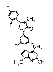 Cc1nc(N)c2c(-c3c(F)cc(N4CC(c5ccc(F)cc5F)N(C)C4=O)cc3F)cn(C)c2n1